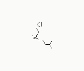 CC(C)CCC[C@@H](C)CCCl